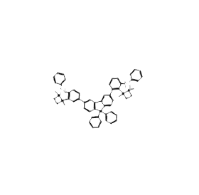 CC12CCC1(C)N(c1ccccc1)c1ccc(-c3ccc4c(c3)-c3cc(-c5cccc6c5C5(C)CCC5(C)N6c5ccccc5)ccc3C4(c3ccccc3)c3ccccc3)cc12